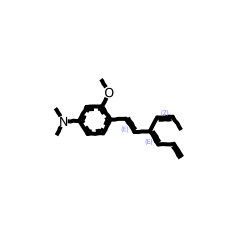 C=C/C=C(\C=C/C)/C=C/c1ccc(N(C)C)cc1OC